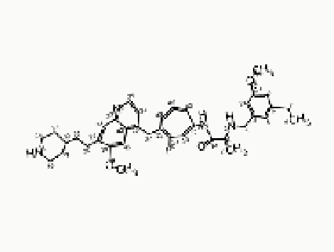 C=C(NCc1cc(CC)cc(OC)c1)C(=O)NC1=CC(F)=C(Cc2ccnc3cc(CCC4CCNCC4)c(OC)cc23)C=C=C1